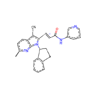 Cc1ccc2c(C#N)c(/C=C/C(=O)Nc3cccnc3)n(C3CCc4ccccc43)c2n1